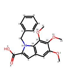 COc1cc2cc(C(=O)O)n(Cc3ccccc3)c2c(OC)c1OC